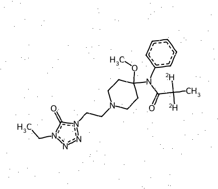 [2H]C([2H])(C)C(=O)N(c1ccccc1)C1(OC)CCN(CCn2nnn(CC)c2=O)CC1